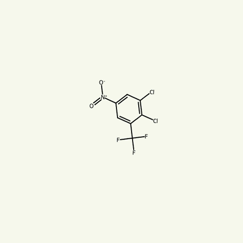 O=[N+]([O-])c1cc(Cl)c(Cl)c(C(F)(F)F)c1